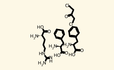 N=C(N)NCCC[C@H](N)C(=O)O.N[C@@H](Cc1ccccc1)C(=O)O.N[C@@H](Cc1ccccc1)C(=O)O.O=C(CCl)CCl